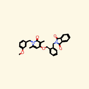 COc1cccc(Cn2c(C)cc(OCc3ccccc3CN3C(=O)c4ccccc4C3=O)c(C)c2=O)c1